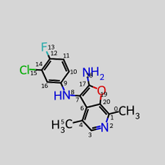 Cc1ncc(C)c2c(Nc3ccc(F)c(Cl)c3)c(N)oc12